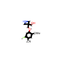 COc1cc(C#N)c(F)cc1OCC1(CO)CNC1